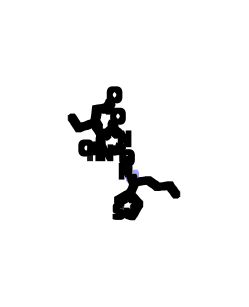 CCCC/C(=N\Oc1nc2oc(=O)cc(CC)c2c(=O)[nH]1)c1ccsc1